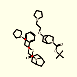 CC(C)(C)OC(=O)N1CC2CC1CC2OCCN1CCCC1.O=C(OCc1ccccc1)N1C2CCC1CC(COCCN1CCCC1)C2